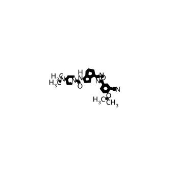 CC(C)Oc1ccc(-c2nc(-c3cccc4c3CC[C@@H]4NC(=O)N3CCC(N(C)C)CC3)no2)cc1C#N